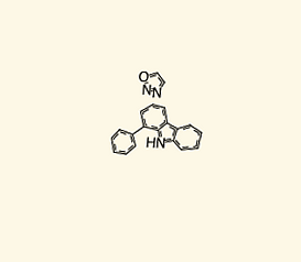 c1ccc(-c2cccc3c2[nH]c2ccccc23)cc1.c1conn1